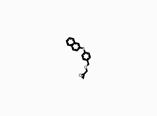 c1ccc2cc(Sc3ccc(COCC4CO4)cc3)ccc2c1